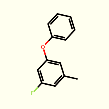 Cc1cc(F)cc(Oc2ccccc2)c1